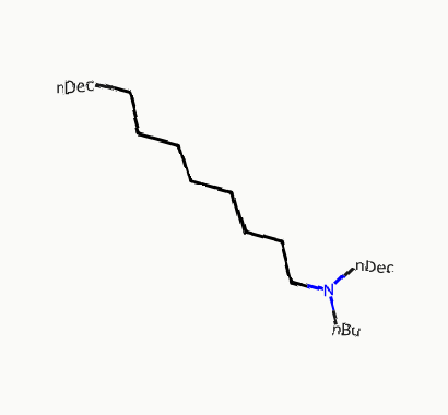 CCCCCCCCCCCCCCCCCCN(CCCC)CCCCCCCCCC